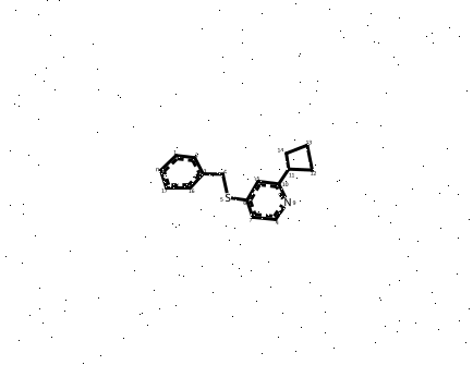 c1ccc(CSc2ccnc(C3CCC3)c2)cc1